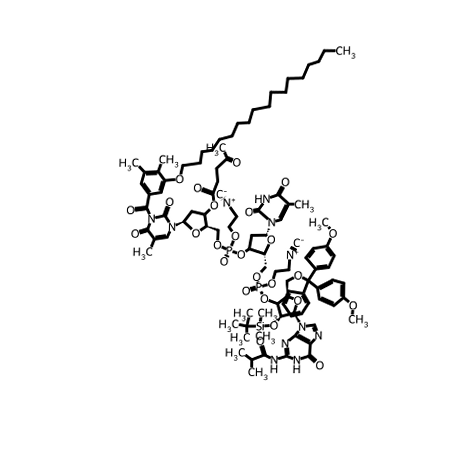 [C-]#[N+]CCOP(=O)(OC[C@H]1O[C@@H](n2cc(C)c(=O)n(C(=O)c3cc(C)c(C)c(OCCCCCCCCCCCCCCCCCC)c3)c2=O)CC1OC(=O)CCC(C)=O)OC1C[C@H](n2cc(C)c(=O)[nH]c2=O)O[C@@H]1COP(=O)(OCC[N+]#[C-])OC1[C@@H](COC(c2ccccc2)(c2ccc(OC)cc2)c2ccc(OC)cc2)O[C@@H](n2cnc3c(=O)[nH]c(NC(=O)C(C)C)nc32)[C@H]1O[Si](C)(C)C(C)(C)C